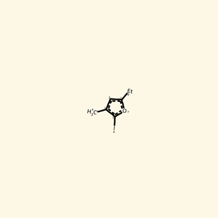 CCc1cc(C)c(I)o1